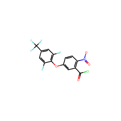 O=C(Cl)c1cc(Oc2c(F)cc(C(F)(F)F)cc2F)ccc1[N+](=O)[O-]